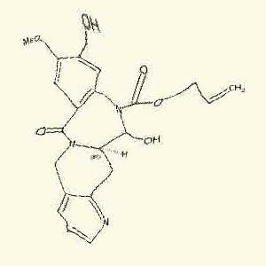 C=CCOC(=O)N1c2cc(O)c(OC)cc2C(=O)N2Cc3cccnc3C[C@@H]2C1O